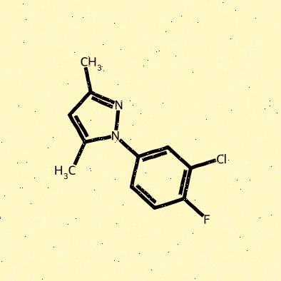 Cc1cc(C)n(-c2ccc(F)c(Cl)c2)n1